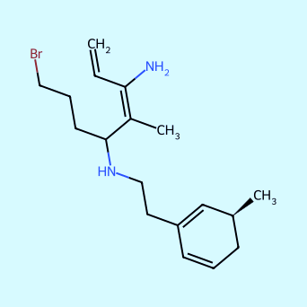 C=C/C(N)=C(/C)C(CCCBr)NCCC1=C[C@@H](C)CC=C1